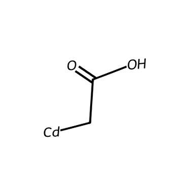 O=C(O)[CH2][Cd]